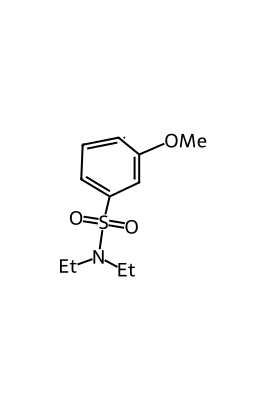 CCN(CC)S(=O)(=O)c1cc[c]c(OC)c1